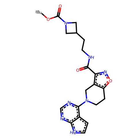 CC(C)(C)OC(=O)N1CC(CCNC(=O)c2noc3c2CN(c2ncnc4[nH]ccc24)CC3)C1